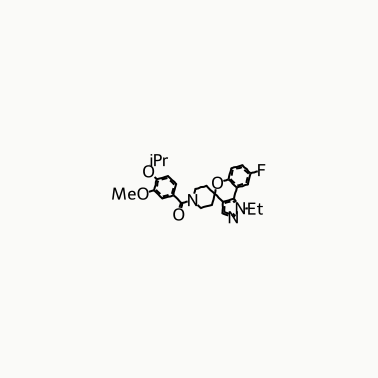 CCn1ncc2c1-c1cc(F)ccc1OC21CCN(C(=O)c2ccc(OC(C)C)c(OC)c2)CC1